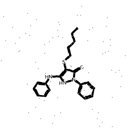 CCCCCSc1c(Nc2ccccc2)[nH]n(-c2ccccc2)c1=O